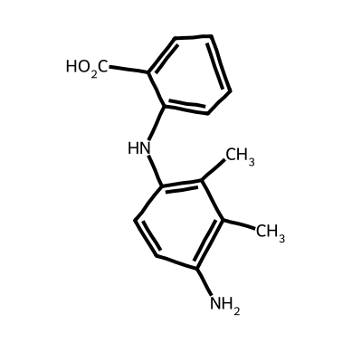 Cc1c(N)ccc(Nc2ccccc2C(=O)O)c1C